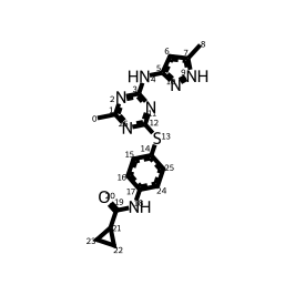 Cc1nc(Nc2cc(C)[nH]n2)nc(Sc2ccc(NC(=O)C3CC3)cc2)n1